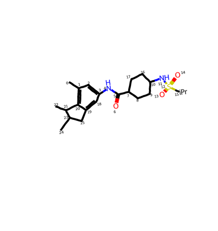 Cc1cc(NC(=O)C2CCC(NS(=O)(=O)C(C)C)CC2)cc2c1C(C)C(C)C2